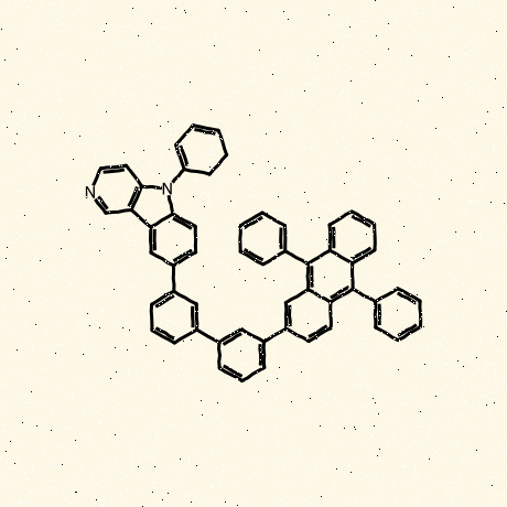 C1=CCCC(n2c3ccncc3c3cc(-c4cccc(-c5cccc(-c6ccc7c(-c8ccccc8)c8ccccc8c(-c8ccccc8)c7c6)c5)c4)ccc32)=C1